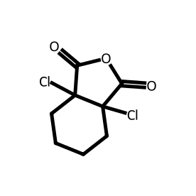 O=C1OC(=O)C2(Cl)CCCCC12Cl